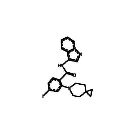 O=C(Nc1cnn2ccccc12)c1ccc(I)cc1N1CCC2(CC1)CC2